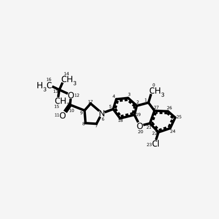 CC1c2ccc(N3CCC(C(=O)OC(C)(C)C)C3)cc2Oc2c(Cl)cccc21